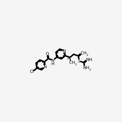 C=C(C[C@@H](C)c1cc(NC(=O)c2ccc(Cl)cn2)ccn1)SC(=N)N